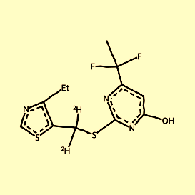 [2H]C([2H])(Sc1nc(O)cc(C(C)(F)F)n1)c1scnc1CC